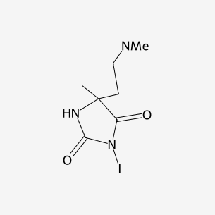 CNCCC1(C)NC(=O)N(I)C1=O